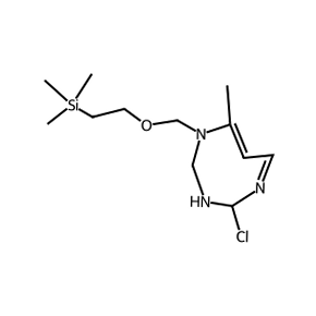 C/C1=C\C=N/C(Cl)NCN1COCC[Si](C)(C)C